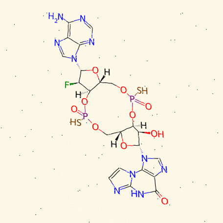 Nc1ncnc2c1ncn2[C@@H]1O[C@@H]2COP(=O)(S)O[C@H]3[C@@H](O)[C@H](n4cnc5c(=O)[nH]c6nccn6c54)O[C@@H]3COP(=O)(S)O[C@H]2[C@H]1F